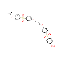 CC(C)Oc1ccc(S(=O)(=O)c2ccc(OCCCOc3ccc(S(=O)(=O)c4ccc(O)cc4)cc3)cc2)cc1